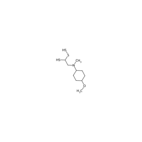 COC1CCC(N(C)CC(S)SS)CC1